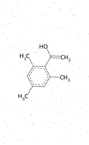 C=C(O)c1c(C)cc(C)cc1C